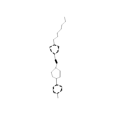 CCCCCCCc1ccc(C#CC2CCC(c3ccc(C)cc3)CC2)cc1